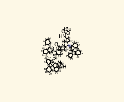 CC(C)(C)OC(=O)Nc1nc(/C(=N/OC(c2ccccc2)(c2ccccc2)c2ccccc2)C(=O)N[C@@H]2C(=O)N3C(C(=O)OC(c4ccccc4)c4ccccc4)=C(SCSC(c4c[nH]nn4)C(c4ccccc4)(c4ccccc4)c4ccccc4)CS[C@@H]23)cs1